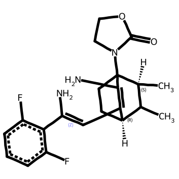 CC1[C@H]2CCC(N3CCOC3=O)(C(N)=C2/C=C(\N)c2c(F)cccc2F)[C@H]1C